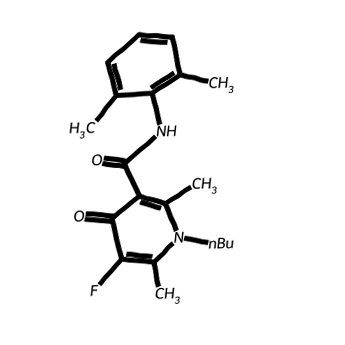 CCCCn1c(C)c(F)c(=O)c(C(=O)Nc2c(C)cccc2C)c1C